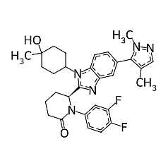 Cc1cnn(C)c1-c1ccc2c(c1)nc([C@@H]1CCCC(=O)N1c1ccc(F)c(F)c1)n2C1CCC(C)(O)CC1